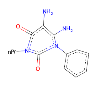 CCCn1c(=O)c(N)c(N)n(-c2ccccc2)c1=O